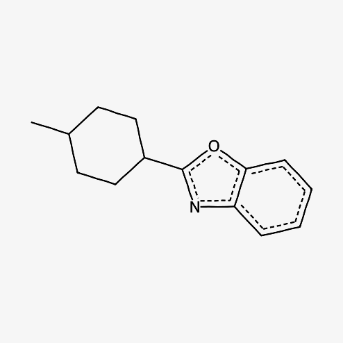 CC1CCC(c2nc3ccccc3o2)CC1